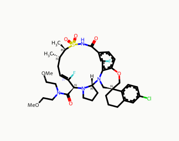 COCCN(CCOC)C(=O)[C@H]1/C(F)=C/C[C@H](C)[C@@H](C)S(=O)(=O)NC(=O)c2ccc3c(c2F)N(C[C@@]2(CCCc4cc(Cl)ccc42)CO3)[C@@H]2CCCN12